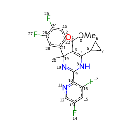 COC(=O)C1=C(C2CC2)NC(c2ncc(F)cc2F)=NC1(C)c1ccc(F)c(F)c1